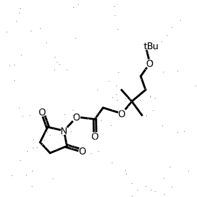 CC(C)(C)OCCC(C)(C)OCC(=O)ON1C(=O)CCC1=O